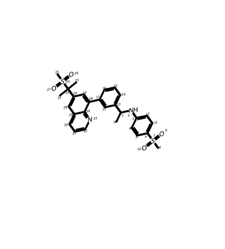 CC(Nc1ccc(S(C)(=O)=O)cc1)c1cccc(-c2cc(C(C)(C)S(C)(=O)=O)cc3cccnc23)c1